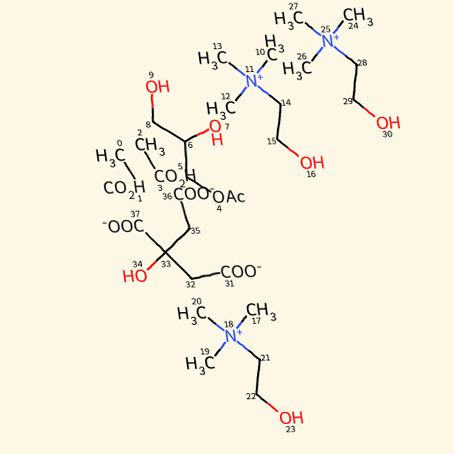 CC(=O)O.CC(=O)O.CC(=O)OCC(O)CO.C[N+](C)(C)CCO.C[N+](C)(C)CCO.C[N+](C)(C)CCO.O=C([O-])CC(O)(CC(=O)[O-])C(=O)[O-]